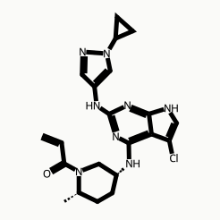 C=CC(=O)N1C[C@H](Nc2nc(Nc3cnn(C4CC4)c3)nc3[nH]cc(Cl)c23)CC[C@@H]1C